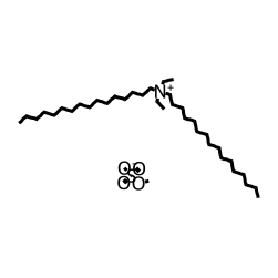 CCCCCCCCCCCCCCCC[N+](CC)(CC)CCCCCCCCCCCCCCCC.COS(=O)(=O)[O-]